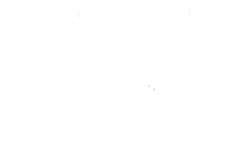 CCOC(=O)c1cc2ccc(Cl)cc2n1COCC[Si](C)(C)C